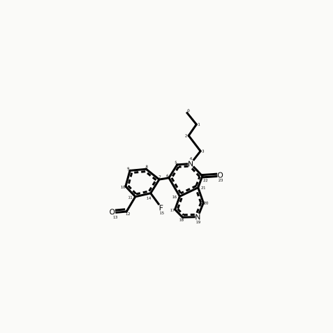 CCCCn1cc(-c2cccc(C=O)c2F)c2ccncc2c1=O